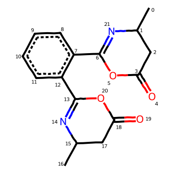 CC1CC(=O)OC(c2ccccc2C2=NC(C)CC(=O)O2)=N1